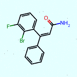 NC(=O)C=C(c1ccccc1)c1cccc(F)c1Br